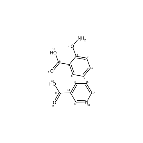 NOc1ccccc1C(=O)O.O=C(O)c1cccnc1